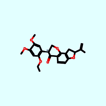 C=C(C)C1Cc2c(ccc3c2OC[C@H](c2cc(OC)c(OC)cc2OCC)C3=O)O1